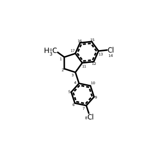 CC1CC(c2ccc(Cl)cc2)c2cc(Cl)ccc21